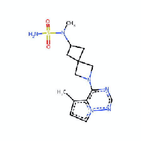 Cc1ccn2ncnc(N3CC4(CC(N(C)S(N)(=O)=O)C4)C3)c12